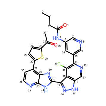 CCCC(=O)Nc1cncc(-c2ncc3[nH]nc(-c4nc5c(-c6ccc(C(C)=O)s6)ccnc5[nH]4)c3c2F)c1